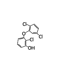 Oc1cccc(Oc2cc(Cl)ccc2Cl)c1Cl